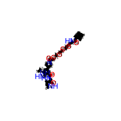 Cc1cc(C)c(CNC(=O)c2cc(C3=CCN(C(=O)COCCOCCOCCOCCNC(=O)CC45CC6CC7CC(C4)C765)CC3)cc(NC(C)C)c2C=N)c(=O)[nH]1